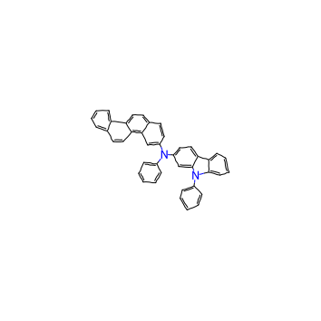 c1ccc(N(c2ccc3ccc4c5ccccc5ccc4c3c2)c2ccc3c4ccccc4n(-c4ccccc4)c3c2)cc1